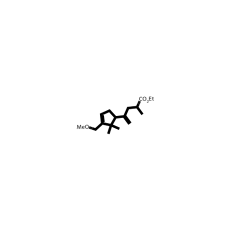 C=C(CC(C)C(=O)OCC)C1CC=C(COC)C1(C)C